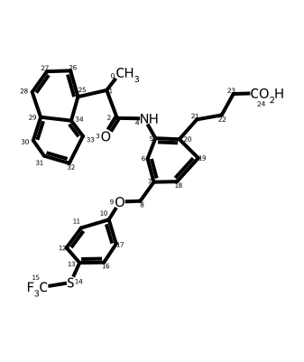 CC(C(=O)Nc1cc(COc2ccc(SC(F)(F)F)cc2)ccc1CCCC(=O)O)c1cccc2ccccc12